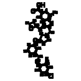 O=C(O)c1cc(F)c2nc(CN3CC[C@H](Oc4cccc(COc5ccc(Cl)cc5F)c4)C3)n(C[C@@H]3CCO3)c2c1